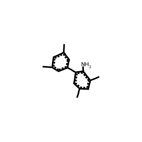 Cc1cc(C)cc(-c2cc(C)cc(C)c2N)c1